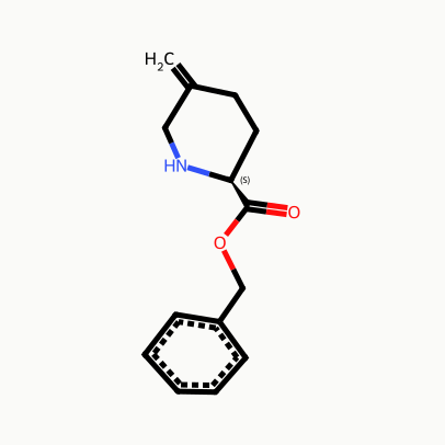 C=C1CC[C@@H](C(=O)OCc2ccccc2)NC1